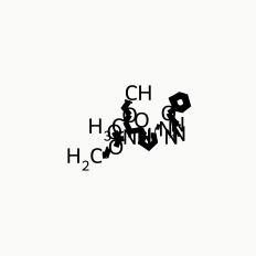 C#CCOC(C)[C@H](NC(=O)OCC=C)C(=O)N1CCC[C@H]1Cn1nnnc1Oc1ccccc1